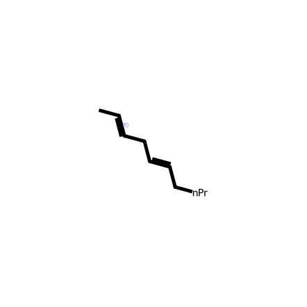 C/C=C/CC=CCCCC